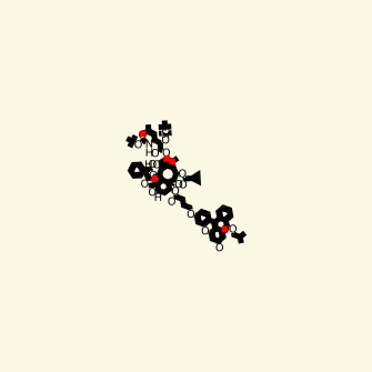 CC(=O)O[C@@]12CO[C@@H]1C[C@H](OC(=O)CCCOc1ccc3c(-c4ccccc4C(=O)OCC(C)C)c4ccc(=O)cc-4oc3c1)[C@@]1(C)C(=O)[C@H](OC(=O)C3CC3)C3=C(C)[C@@H](OC(=O)C(O[Si](C)(C)C(C)(C)C)[C@H](C=C(C)C)NC(=O)OC(C)(C)C)C[C@@](O)([C@@H](OC(=O)c4ccccc4)[C@H]21)C3(C)C